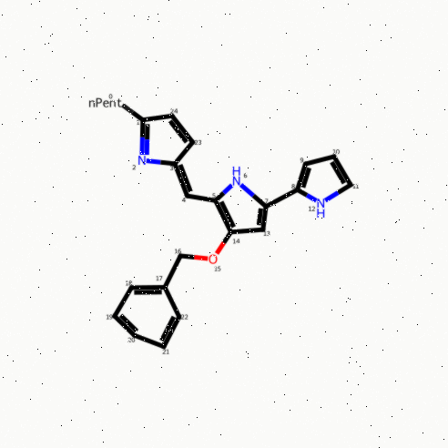 CCCCCC1=NC(=Cc2[nH]c(-c3ccc[nH]3)cc2OCc2ccccc2)C=C1